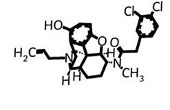 C=CCN1CC[C@@]23c4c5ccc(O)c4C[C@@H]1[C@@H]2CC[C@@H](N(C)C(=O)Cc1ccc(Cl)c(Cl)c1)[C@@H]3O5